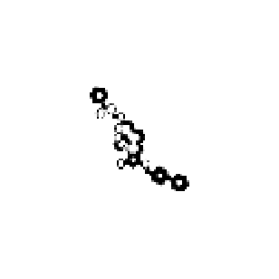 O=C(CC/C=C\CCC1[C@@H](OCc2ccc(-c3ccccc3)cc2)CC(=O)[C@@H]1N1CCOCC1)OCOC(=O)c1ccccc1